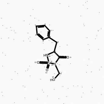 O=C1C(Cc2ccccc2)NS(=O)(=O)N1CO